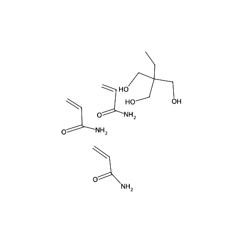 C=CC(N)=O.C=CC(N)=O.C=CC(N)=O.CCC(CO)(CO)CO